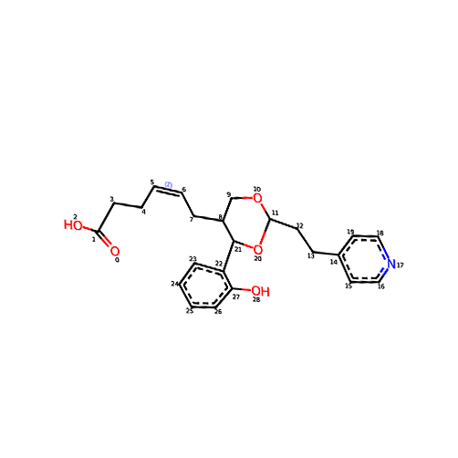 O=C(O)CC/C=C\CC1COC(CCc2ccncc2)OC1c1ccccc1O